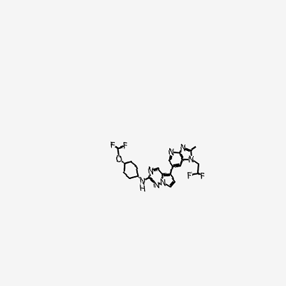 Cc1nc2ncc(-c3ccn4nc(N[C@H]5CC[C@H](OC(F)F)CC5)ncc34)cc2n1CC(F)F